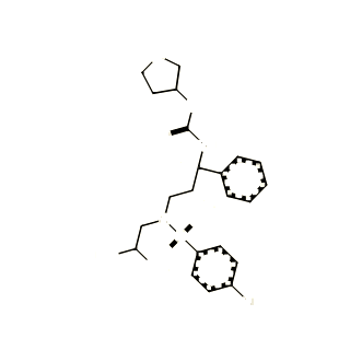 CC(C)CN(C[C@@H](O)[C@@](C)(NC(=O)OC1CCOC1)c1ccccc1)S(=O)(=O)c1ccc(N)cc1